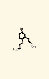 C=CCOc1ccc(Br)cc1CC=NO